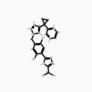 Fc1cc(-c2nnc(C(F)F)o2)c(F)cc1Cn1nnc(C2(c3cnccn3)CC2)n1